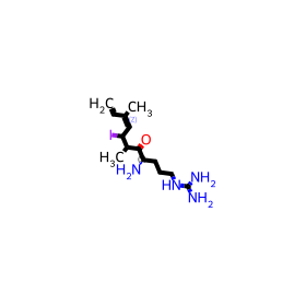 C=C/C(C)=C\C(I)C(C)C(=O)[C@@H](N)CCCNC(N)N